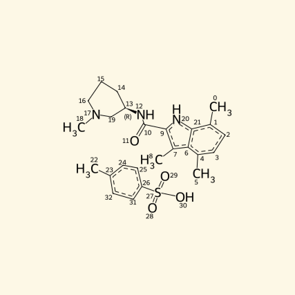 Cc1ccc(C)c2c(C)c(C(=O)N[C@@H]3CCCN(C)C3)[nH]c12.Cc1ccc(S(=O)(=O)O)cc1